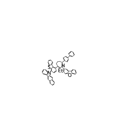 CCC1=C(\c2ccc(-n3c4ccccc4c4cc5ccccc5cc43)c3sc4ccccc4c23)CCCC(c2ccc(-c3ccccc3)cc2)/N=C\1c1ccc2oc3ccccc3c2c1